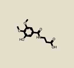 COc1cc(C(=O)NCCC(=O)O)cc(O)c1OC